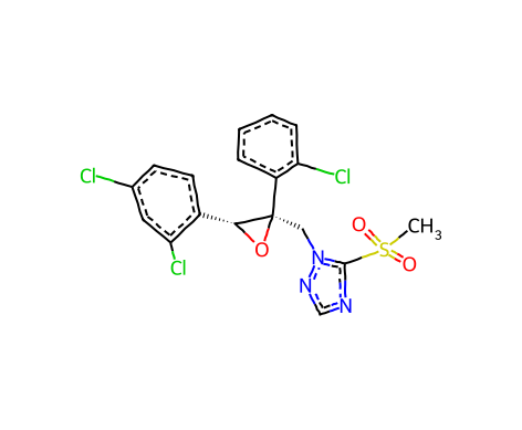 CS(=O)(=O)c1ncnn1C[C@]1(c2ccccc2Cl)O[C@@H]1c1ccc(Cl)cc1Cl